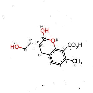 Cc1ccc2c(c1C(=O)O)OB(O)[C@@H](CCO)C2